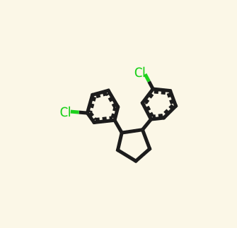 Clc1cccc(C2CCCC2c2cccc(Cl)c2)c1